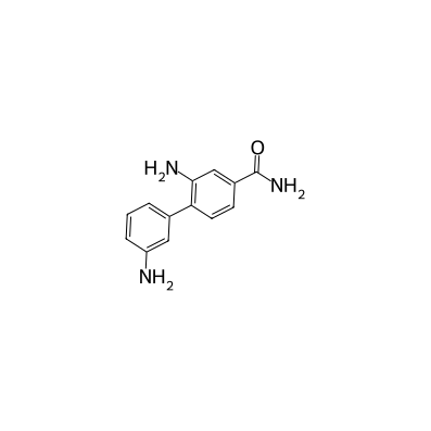 NC(=O)c1ccc(-c2cccc(N)c2)c(N)c1